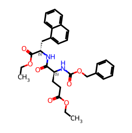 CCOC(=O)CC[C@H](NC(=O)OCc1ccccc1)C(=O)N[C@@H](Cc1cccc2ccccc12)C(=O)OCC